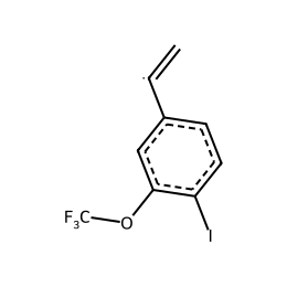 C=[C]c1ccc(I)c(OC(F)(F)F)c1